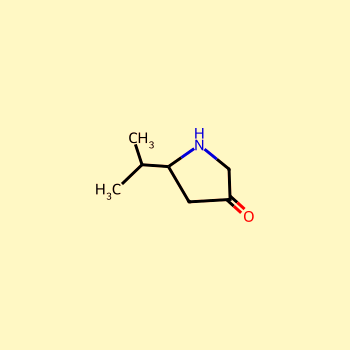 CC(C)C1CC(=O)CN1